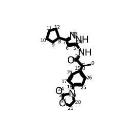 C[C@H](C(=O)Nc1cc(C2CCCC2)n[nH]1)c1ccc(N2CCOC2=O)cc1